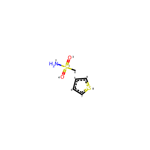 CS(N)(=O)=O.c1ccsc1